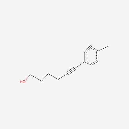 Cc1ccc(C#CCCCCO)cc1